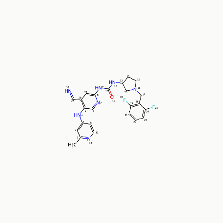 Cc1cc(Nc2cnc(NC(=O)NC3CCN(Cc4c(F)cccc4F)C3)cc2C=N)ccn1